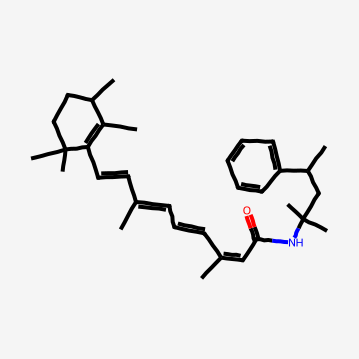 CC1=C(/C=C/C(C)=C/C=C/C(C)=C\C(=O)NC(C)(C)CC(C)c2ccccc2)C(C)(C)CCC1C